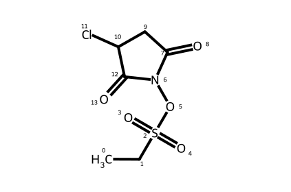 CCS(=O)(=O)ON1C(=O)CC(Cl)C1=O